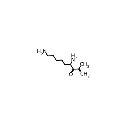 C=C(C)C(=O)C(N)CCCCCN